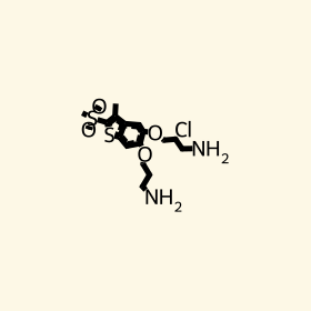 Cc1c(S(C)(=O)=O)sc2cc(OCCCN)c(OC[C@@H](Cl)CN)cc12